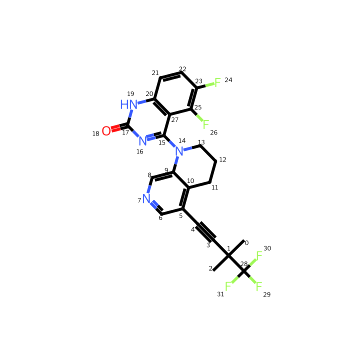 CC(C)(C#Cc1cncc2c1CCCN2c1nc(=O)[nH]c2ccc(F)c(F)c12)C(F)(F)F